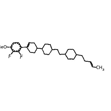 C/C=C/CCC1CCC(CCC2CCC(C3CC=C(c4ccc(OC)c(F)c4F)CC3)CC2)CC1